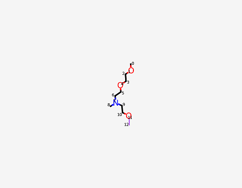 COCCOCCN(C)CCOI